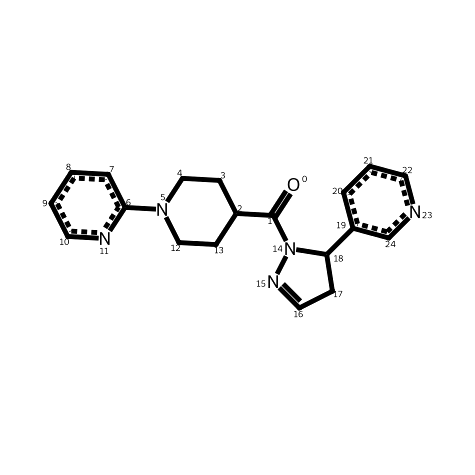 O=C(C1CCN(c2ccccn2)CC1)N1N=CCC1c1cccnc1